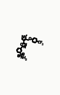 Cn1ncc(-c2nnc(-c3cccc(S(N)(=O)=O)c3)o2)c1COc1ccc(C(F)(F)F)cc1